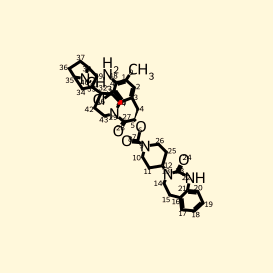 Cc1cc(C[C@@H](OC(=O)N2CCC(N3CCc4ccccc4NC3=O)CC2)C(=O)N2CCC(C3CC4CCC(C3)N4C)CC2)cc(Cl)c1N